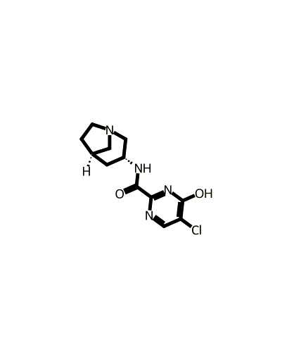 O=C(N[C@@H]1C[C@H]2CCN(C2)C1)c1ncc(Cl)c(O)n1